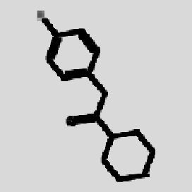 O=C(Cc1ccc(F)cc1)C1CC[CH]CC1